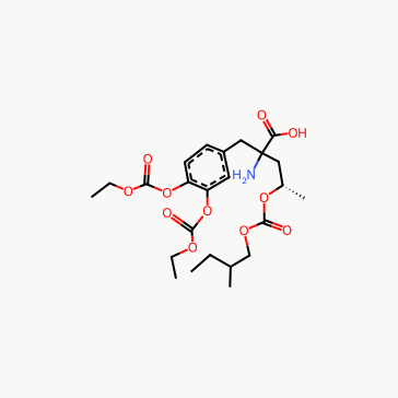 CCOC(=O)Oc1ccc(CC(N)(C[C@H](C)OC(=O)OCC(C)CC)C(=O)O)cc1OC(=O)OCC